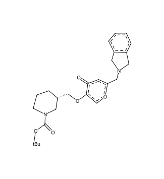 CC(C)(C)OC(=O)N1CCC[C@H](COc2coc(CN3Cc4ccccc4C3)cc2=O)C1